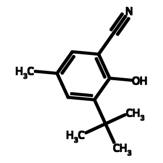 Cc1cc(C#N)c(O)c(C(C)(C)C)c1